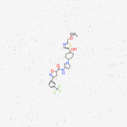 COCc1ncc(C2(O)CCC(N3CC[C@@H](NC(=O)C4CC(c5cccc(C(F)(F)F)c5)=NO4)C3)CC2)s1